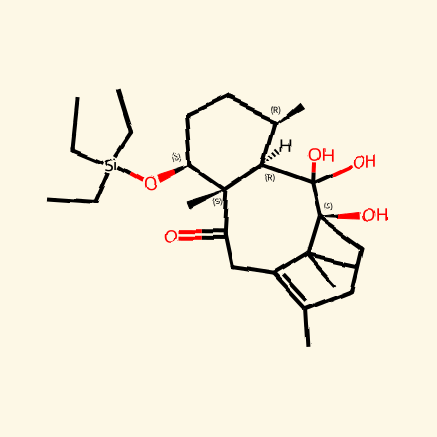 CC[Si](CC)(CC)O[C@H]1CC[C@@H](C)[C@H]2C(O)(O)[C@]3(O)CCC(C)=C(CC(=O)[C@]12C)C3(C)C